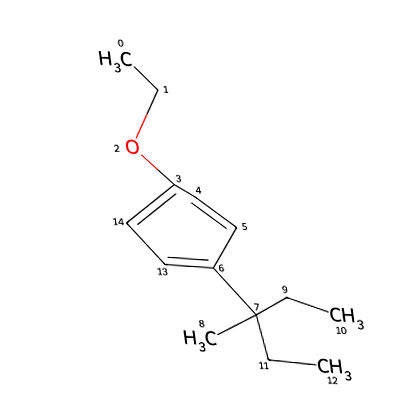 CCOc1ccc(C(C)(CC)CC)cc1